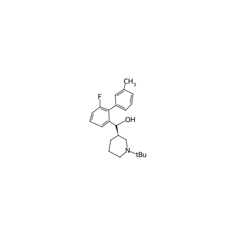 Cc1cccc(-c2c(F)cccc2C(O)[C@@H]2CCCN(C(C)(C)C)C2)c1